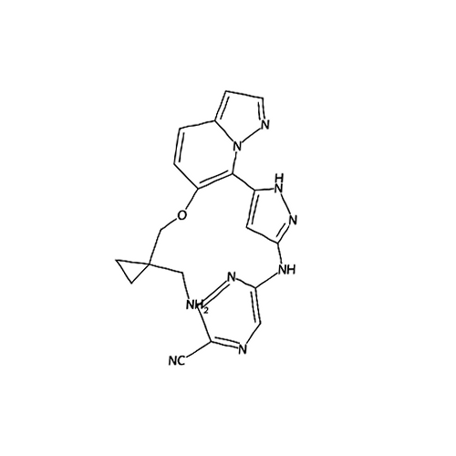 N#Cc1cnc(Nc2cc(-c3c(OCC4(CN)CC4)ccc4ccnn34)[nH]n2)cn1